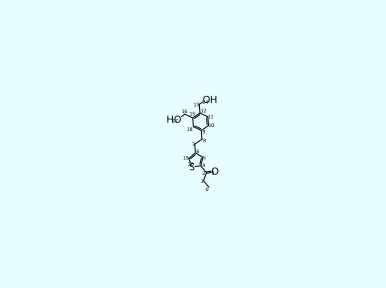 CCC(=O)c1cc(CCc2ccc(CO)c(CO)c2)cs1